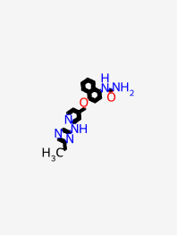 CCc1cncc(Nc2cc(COc3ccc(NC(N)=O)c4ccccc34)ccn2)n1